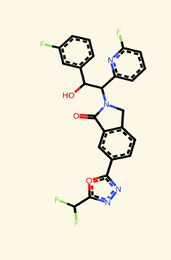 O=C1c2cc(-c3nnc(C(F)F)o3)ccc2CN1C(c1cccc(F)n1)C(O)c1cccc(F)c1